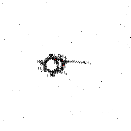 CCCCCCCCCCCCCCCCCC(=O)N[C@H]1C[C@H]2C(=O)N[C@@H](CCC(N)=O)C(=O)N[C@H]3CSCCOCCSC[C@H](NC(=O)[C@H](CCC(=O)O)NC(=O)CNC(=O)[C@H]([C@@H](C)O)NC(=O)[C@H](CCC(=O)O)NC(=O)[C@@H]4CCCN4C(=O)[C@H](CC(=O)O)NC3=O)C(=O)N[C@@H](CC(C)C)C(=O)N3CCC[C@@H]3C(=O)N2C1